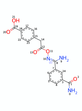 NC(=O)c1cccc(/C(N)=N/OC(=O)Cc2ccc(C(=O)O)cc2)c1